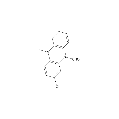 CN(c1ccccc1)c1ccc(Cl)cc1NC=O